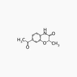 CC(=O)c1ccc2c(c1)OC(C)C(=O)N2